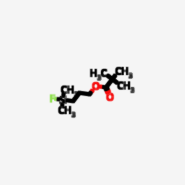 CC(C)(C)C(=O)OCCC[Si](C)(C)F